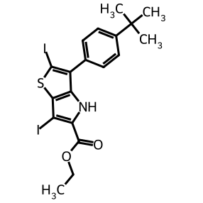 CCOC(=O)c1[nH]c2c(-c3ccc(C(C)(C)C)cc3)c(I)sc2c1I